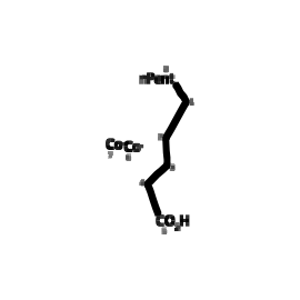 CCCCCCCCCC(=O)O.[Co].[Co]